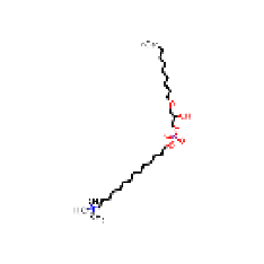 CCCCCCCCCCCCCCCCCCOCC(O)COP(=O)([O-])OCCCCCCCCCCCCCC[N+](C)(C)C